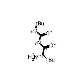 CC[C@H](C)[C@H](N)C(=O)[N]C(=O)OC(C)(C)C